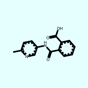 Cc1ccc(NC(=O)c2ccccc2C(=O)O)cn1